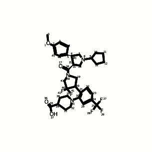 COc1ccc([C@@H]2CN(C3CCCC3)C[C@H]2C(=O)N2CC(c3ccc(C(F)(F)F)cc3N3CCC(C(=O)O)CC3)C(F)(F)C2)cc1